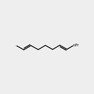 [CH2]C=CCCCC=CCC[CH2]